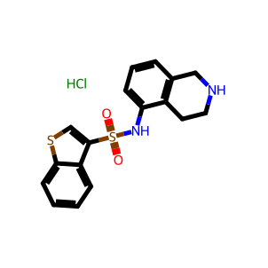 Cl.O=S(=O)(Nc1cccc2c1CCNC2)c1csc2ccccc12